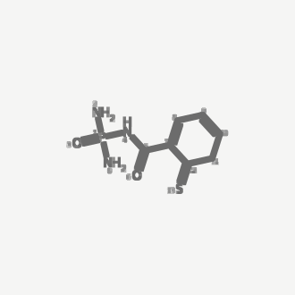 NP(N)(=O)NC(=O)C1=CC=CCC1=S